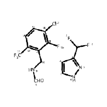 FC(F)c1cc[nH]n1.O=CNCc1c(C(F)(F)F)ccc(Cl)c1F